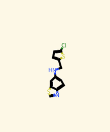 Clc1ccc(CNc2ccc3ncsc3c2)s1